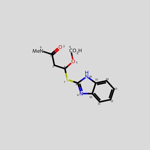 CNC(=O)CC(OC(=O)O)Sc1nc2ccccc2[nH]1